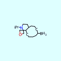 BC1CCCCC2C(CCC1)CCN(C(C)C)C21COC1